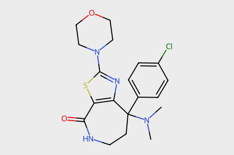 CN(C)C1(c2ccc(Cl)cc2)CCNC(=O)c2sc(N3CCOCC3)nc21